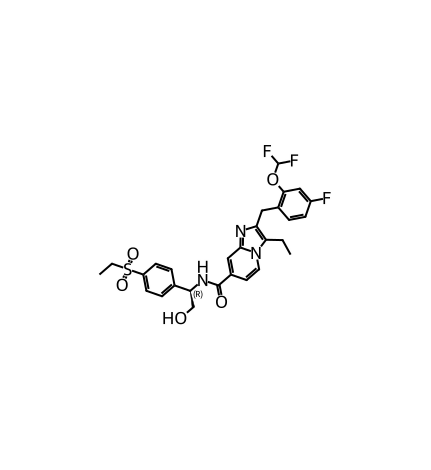 CCc1c(Cc2ccc(F)cc2OC(F)F)nc2cc(C(=O)N[C@@H](CO)c3ccc(S(=O)(=O)CC)cc3)ccn12